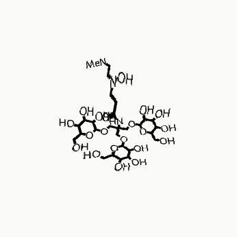 CNCCN(O)CCC(=O)NC(COC1OC(CO)C(O)C(O)C1O)(COC1OC(CO)C(O)C(O)C1O)COC1OC(CO)C(O)C(O)C1O